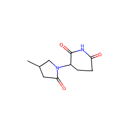 CC1CC(=O)N(C2CCC(=O)NC2=O)C1